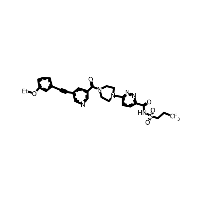 CCOc1cccc(C#Cc2cncc(C(=O)N3CCN(c4ccc(C(=O)NS(=O)(=O)CCC(F)(F)F)nn4)CC3)c2)c1